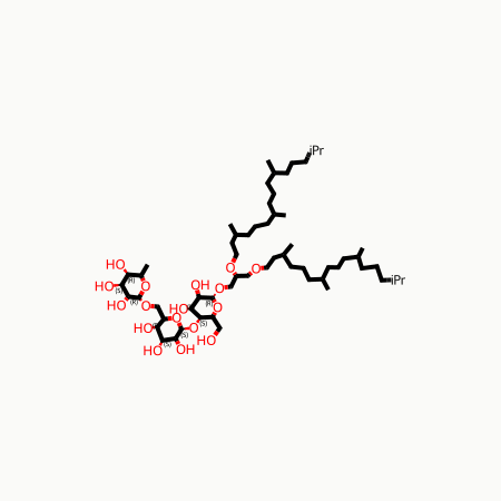 CC(C)CCCC(C)CCCC(C)CCCC(C)CCOCC(CO[C@@H]1OC(CO)[C@@H](O[C@@H]2OC(CO[C@@H]3OC(C)[C@H](O)[C@H](O)C3O)[C@H](O)[C@H](O)C2O)[C@H](O)C1O)OCCC(C)CCCC(C)CCCC(C)CCCC(C)C